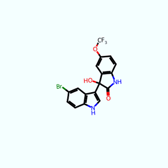 O=C1Nc2ccc(OC(F)(F)F)cc2C1(O)c1c[nH]c2ccc(Br)cc12